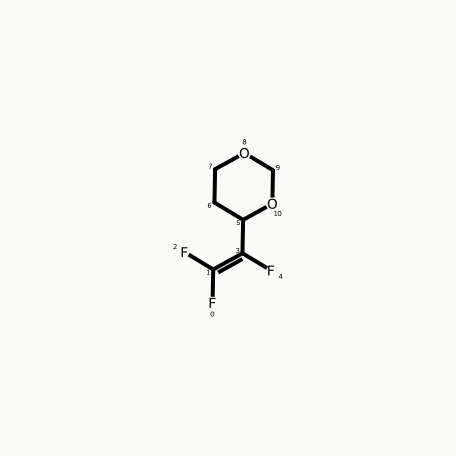 FC(F)=C(F)C1CCOCO1